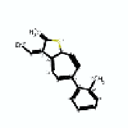 C=C1SC2C#CC(c3ccccc3C)=CC=C2/C1=C/CC